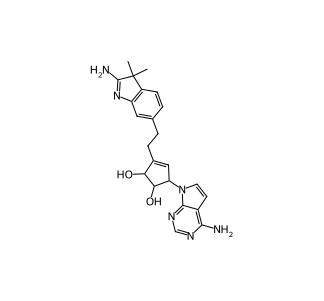 CC1(C)C(N)=Nc2cc(CCC3=CC(n4ccc5c(N)ncnc54)C(O)C3O)ccc21